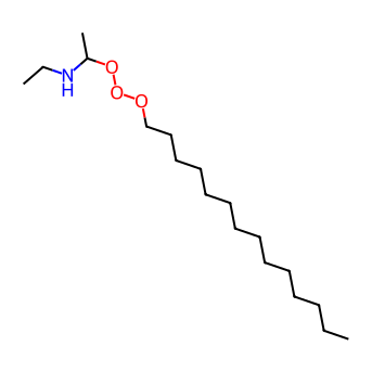 CCCCCCCCCCCCCCOOOC(C)NCC